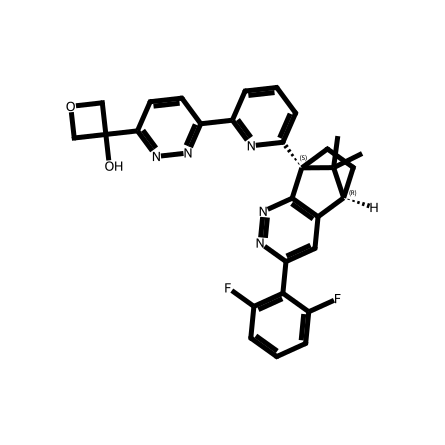 CC1(C)[C@H]2CC[C@]1(c1cccc(-c3ccc(C4(O)COC4)nn3)n1)c1nnc(-c3c(F)cccc3F)cc12